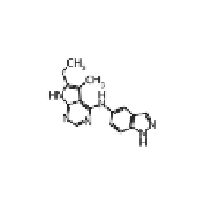 CCc1[nH]c2ncnc(Nc3ccc4[nH]ncc4c3)c2c1C